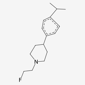 CC(C)c1ccc(C2CCN(CCF)CC2)cc1